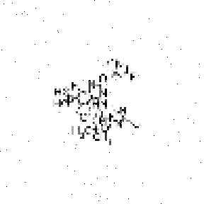 CC(C)(C)OC(=O)n1nc(C2CC2)nc1CNc1nc(OC[C@@]23CCCN2C[C@H](F)C3)nc2c(F)c(B(O)O)c3c(c12)COC3